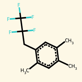 Cc1cc(C)c(CC(F)(F)C(F)(F)F)cc1C